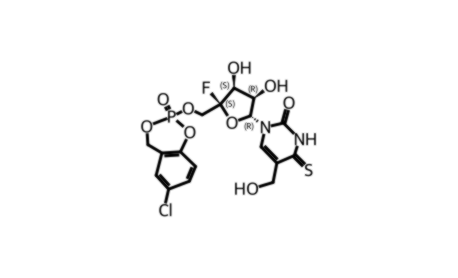 O=c1[nH]c(=S)c(CO)cn1[C@@H]1O[C@](F)(COP2(=O)OCc3cc(Cl)ccc3O2)[C@@H](O)[C@H]1O